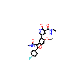 C=CNC(=O)c1cc(-c2cc3c(C(=O)NC)c(-c4ccc(F)cc4)oc3cc2OCC)cnc1OC